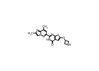 Cc1cn2nc(-c3nc4sc(OC5CNC5)cc4c(=O)[nH]3)cc(C)c2n1